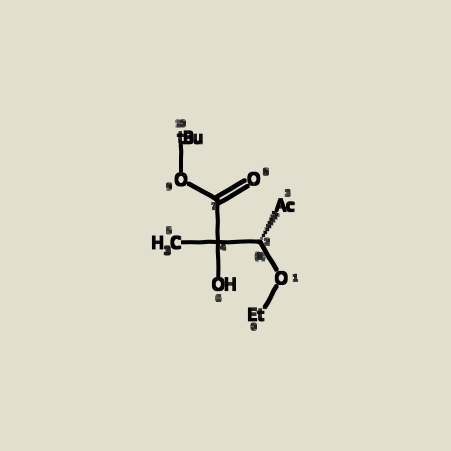 CCO[C@@H](C(C)=O)C(C)(O)C(=O)OC(C)(C)C